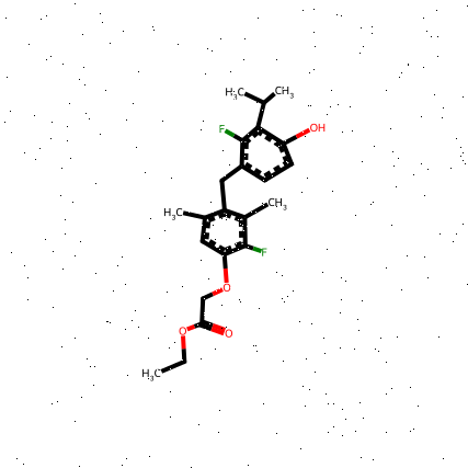 CCOC(=O)COc1cc(C)c(Cc2ccc(O)c(C(C)C)c2F)c(C)c1F